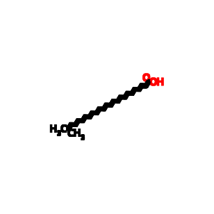 CC(C)CCCCCCCCCCCCCCCCCCCCC=CC(=O)O